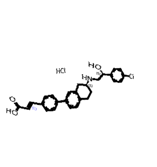 Cl.O=C(O)/C=C/c1ccc(-c2ccc3c(c2)C[C@@H](NC[C@@H](O)c2ccc(Cl)cc2)CC3)cc1